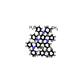 Cc1ccc2c(c1)B1c3ccccc3N3c4cc(N(c5ccccc5)c5ccccc5)ccc4B4c5cc6c(cc5N5c7ccccc7B7c8cc(C)ccc8N2c2c1c3c4c5c27)Sc1ccccc1B6c1c(C(C)C)cc(C(C)C)cc1C(C)C